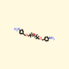 CC(C)(COCc1ccc(N)cc1)[Si](C)(C)O[Si](C)(C)C(C)(C)COCc1ccc(N)cc1